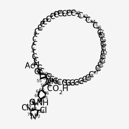 CC(=O)N1CCCCCCCCCCCCCCCCCCCCCCCCCCCCCCCCCCCCCCCCCCCCCCCCC2(CC1)C(=O)C=C2N[C@@H](Cc1ccc(NC(=O)c2c(Cl)cncc2Cl)cc1)C(=O)O